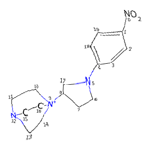 O=[N+]([O-])c1ccc(N2CCC([N+]34CCN(CC3)CC4)C2)cc1